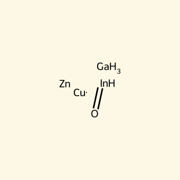 [Cu].[GaH3].[O]=[InH].[Zn]